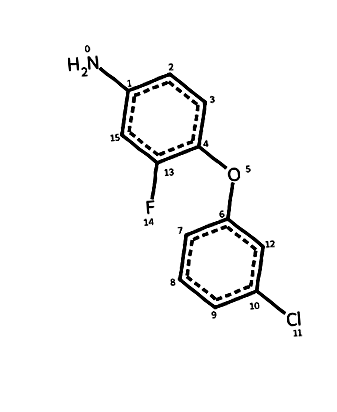 Nc1ccc(Oc2cccc(Cl)c2)c(F)c1